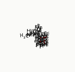 CC[NH2+]C.Fc1ccc(-c2c(F)c(F)c(F)c(F)c2F)c(F)c1F.Fc1ccc2c([B-](c3c(F)c(F)c(F)c4c(F)c(F)ccc34)(c3c(F)c(F)c(F)c4c(F)c(F)ccc34)c3c(F)c(F)c(F)c4c(F)c(F)ccc34)c(F)c(F)c(F)c2c1F